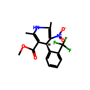 COC(=O)C1=C(C)NC(C)=C([N+](=O)[O-])[C@H]1c1ccccc1C(F)(F)F